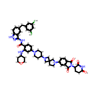 O=C1CCC(N2C(=O)c3ccc(N4CCC5(C4)CN(C4CCN(c6ccc(C(=O)Nc7n[nH]c8ccc(Cc9cc(F)cc(F)c9)cc78)c(NC7CCOCC7)c6)CC4)C5)cc3C2=O)C(=O)N1